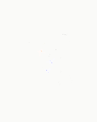 S=P(c1ccccc1)(c1ccccc1)c1cccc2nc3c4c5ccccc5ccc4c4cc5ccccc5cc4n3c12